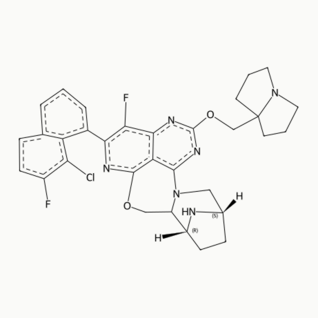 Fc1ccc2cccc(-c3nc4c5c(nc(OCC67CCCN6CCC7)nc5c3F)N3C[C@@H]5CC[C@@H](N5)C3CO4)c2c1Cl